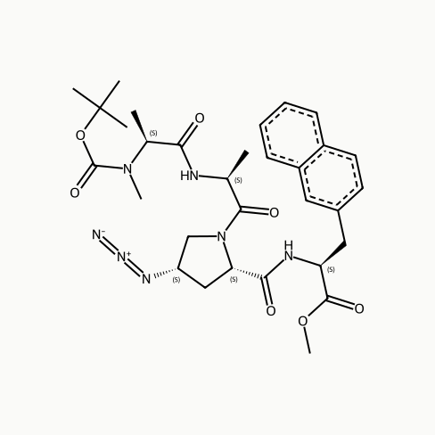 COC(=O)[C@H](Cc1ccc2ccccc2c1)NC(=O)[C@@H]1C[C@H](N=[N+]=[N-])CN1C(=O)[C@H](C)NC(=O)[C@H](C)N(C)C(=O)OC(C)(C)C